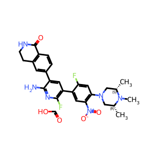 C[C@@H]1CN(c2cc(F)c(-c3cc(-c4ccc5c(c4)CCNC5=O)c(N)nc3F)cc2[N+](=O)[O-])C[C@H](C)N1C.O=CO